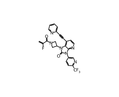 C=C(F)C(=O)N1CC(n2c(=O)n(-c3ccc(C(F)(F)F)nc3)c3nccc(C#Cc4ccccn4)c32)C1